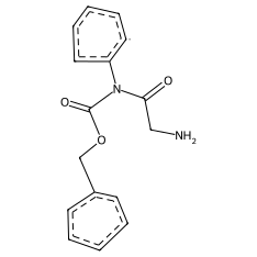 NCC(=O)N(C(=O)OCc1ccccc1)c1[c]cccc1